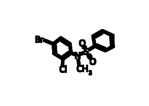 CN(c1ccc(Br)cc1Cl)S(=O)(=O)c1ccccc1